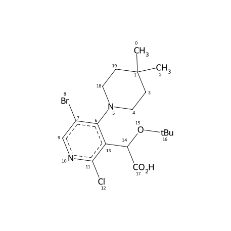 CC1(C)CCN(c2c(Br)cnc(Cl)c2C(OC(C)(C)C)C(=O)O)CC1